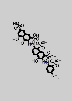 Nc1ccc(/N=N/c2c(S(=O)(=O)O)cc3c(S(=O)(=O)O)c(/N=N/c4c(S(=O)(=O)O)cc5cc(S(=O)(=O)O)cc(O)c5c4O)ccc3c2O)c(S(=O)(=O)O)c1